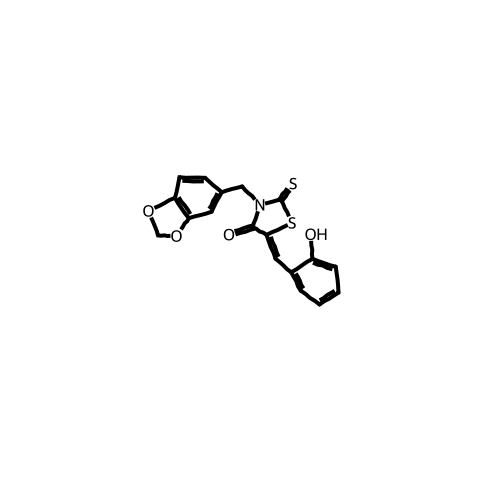 O=C1C(=Cc2ccccc2O)SC(=S)N1Cc1ccc2c(c1)OCO2